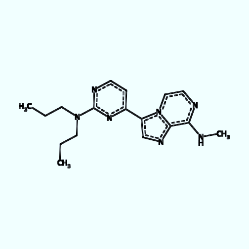 CCCN(CCC)c1nccc(-c2cnc3c(NC)nccn23)n1